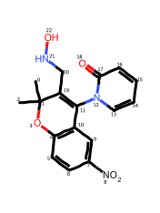 CC1(C)Oc2ccc([N+](=O)[O-])cc2C(n2ccccc2=O)=C1CNO